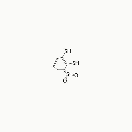 O=S(=O)=C1CC=CC(S)=C1S